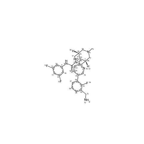 CN1C[C@@H]2CN(C(=O)Nc3cc(F)cc(F)c3)C[C@H](C1)[C@]2(O)c1ccc(-c2cccc(CN)c2F)cn1